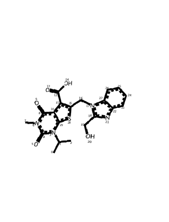 CC(C)n1c(=O)n(C)c(=O)c2c(C(=O)O)c(Cn3c(CO)nc4ccccc43)sc21